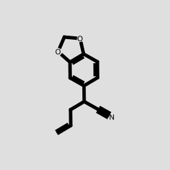 C=CCC(C#N)c1ccc2c(c1)OCO2